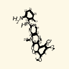 COc1cc(OC)c(Cl)c(-c2nc3cnc(Nc4c(C)cccc4N)nc3n(C)c2=O)c1Cl